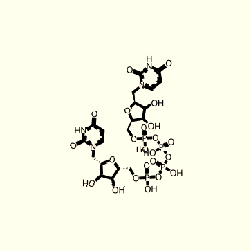 O=c1ccn(C[C@@H]2O[C@H](COP(=O)(O)OP(=O)(O)OP(=O)(O)OP(=O)(O)OC[C@H]3O[C@@H](Cn4ccc(=O)[nH]c4=O)C(O)C3O)C(O)C2O)c(=O)[nH]1